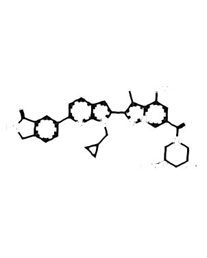 COc1cc(C(=O)N2C[C@H](N)C[C@@H](F)C2)cn2nc(-c3cc4ccc(-c5ccc6c(c5)C(=O)NC6)nc4n3CC3CC3)c(C)c12